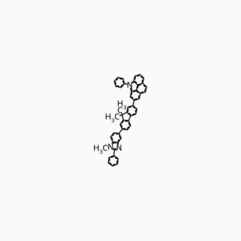 Cn1c(-c2ccccc2)nc2cc(-c3ccc4c(c3)C(C)(C)c3cc(-c5cc6ccc7cccc8c7c6c(c5)n8-c5ccccc5)ccc3-4)ccc21